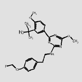 COc1nc(NCCc2ccc(OCF)cc2)nc(-c2ccc(OC)c(C(C)(C)O)c2)n1